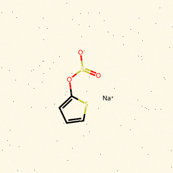 O=S([O-])Oc1cccs1.[Na+]